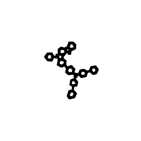 C1=C(c2ccccc2)CCC(N(c2ccc(-c3ccccc3)cc2)c2ccc(-c3ccc4c(c3)c3c5sc6ccccc6c5ccc3n4-c3ccccc3)cc2)=C1